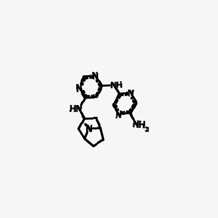 CN1C2CCC1CC(Nc1cc(Nc3cnc(N)cn3)ncn1)C2